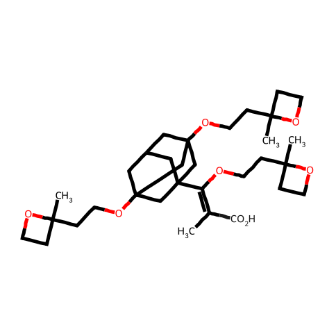 CC(C(=O)O)=C(OCCC1(C)CCO1)C12CC3CC(OCCC4(C)CCO4)(CC(OCCC4(C)CCO4)(C3)C1)C2